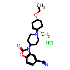 CCO[C@H]1CC[C@](C)(N2CCC(n3c(=O)oc4ccc(C#N)cc43)CC2)CC1.Cl